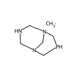 C1NCN2CPCN1C2.[CH2]